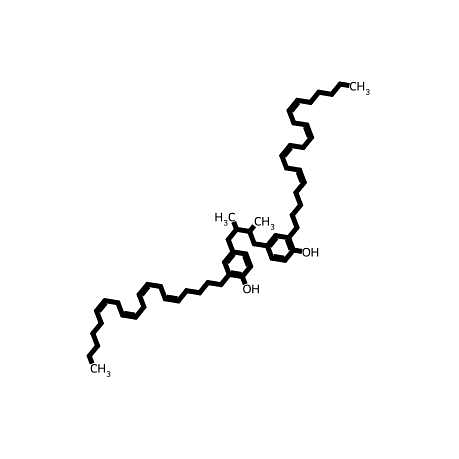 CCCCC/C=C\C/C=C\C/C=C\C/C=C\CCCCc1cc(CC(C)C(C)Cc2ccc(O)c(CCCC/C=C\C/C=C\C/C=C\C/C=C\CCCCC)c2)ccc1O